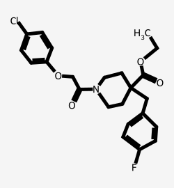 CCOC(=O)C1(Cc2ccc(F)cc2)CCN(C(=O)COc2ccc(Cl)cc2)CC1